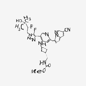 COC(=O)NC[C@H]1C[C@H](Nc2cc(-c3ccc4cc(C#N)cnn34)ncc2-c2nnn(C[C@@H](F)C(C)(C)O)c2F)C1